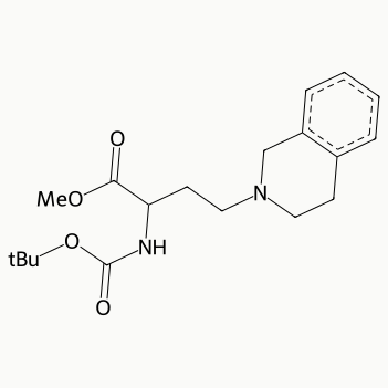 COC(=O)C(CCN1CCc2ccccc2C1)NC(=O)OC(C)(C)C